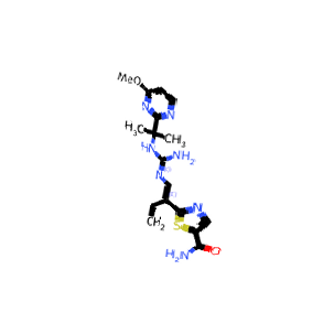 C=C/C(=C\N=C(/N)NC(C)(C)c1nccc(OC)n1)c1ncc(C(N)=O)s1